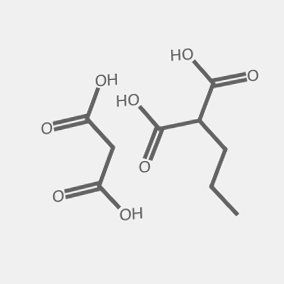 CCCC(C(=O)O)C(=O)O.O=C(O)CC(=O)O